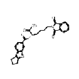 O=C(C[C@@H](CCCCN1C(=O)c2ccccc2C1=O)C(=O)O)c1ccc2c3c(oc2c1)CCC3